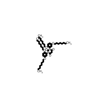 CCCCCCCCOc1ccc(OCCCCCCCC)c(N2C(=O)CC(=O)N(c3cc(OCCCCCCCC)ccc3OCCCCCCCC)C2=O)c1